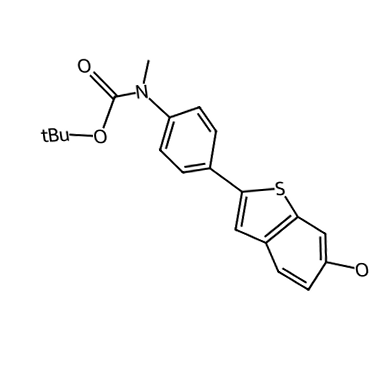 CN(C(=O)OC(C)(C)C)c1ccc(-c2cc3ccc(O)cc3s2)cc1